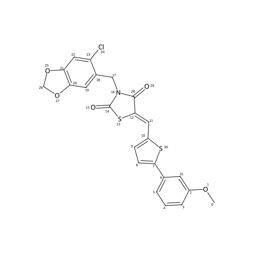 COc1cccc(-c2ccc(/C=C3\SC(=O)N(Cc4cc5c(cc4Cl)OCO5)C3=O)s2)c1